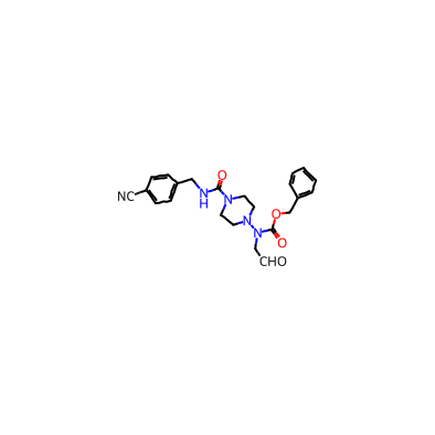 N#Cc1ccc(CNC(=O)N2CCN(N(CC=O)C(=O)OCc3ccccc3)CC2)cc1